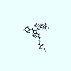 COC(=O)CCCC=C1C=C2[C@H](C[C@@H](OC3CCCCO3)[C@@H]2CO[Si](C)(C)C(C)(C)C)O1